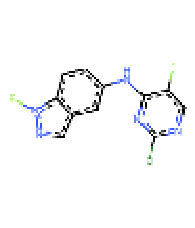 Fc1cnc(Cl)nc1Nc1ccc2c(cnn2F)c1